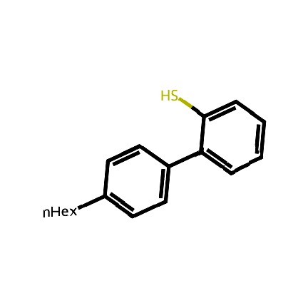 CCCCCCc1ccc(-c2ccccc2S)cc1